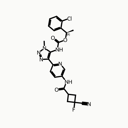 C[C@@H](OC(=O)Nc1c(-c2ccc(NC(=O)C3CC(F)(C#N)C3)cn2)nnn1C)c1ccccc1Cl